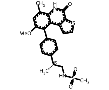 COc1cc(C)c2[nH]c(=O)c3sccc3c2c1-c1ccc([C@@H](C)CNS(C)(=O)=O)cc1